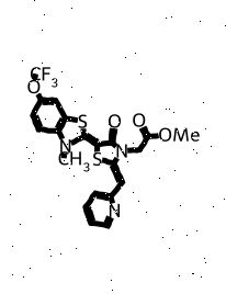 COC(=O)Cn1c(=O)/c(=C2\Sc3cc(OC(F)(F)F)ccc3N2C)s/c1=C\c1ccccn1